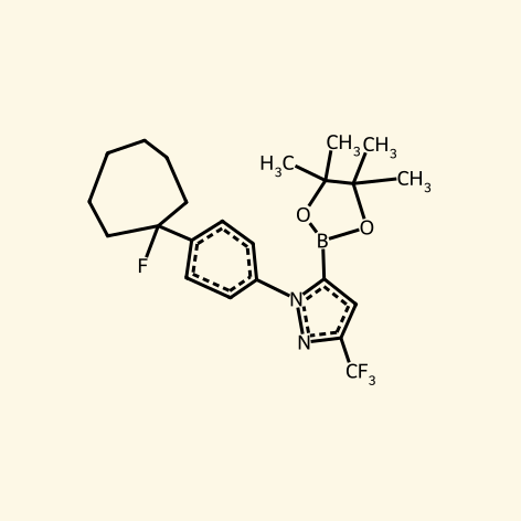 CC1(C)OB(c2cc(C(F)(F)F)nn2-c2ccc(C3(F)CCCCCC3)cc2)OC1(C)C